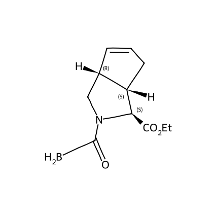 BC(=O)N1C[C@@H]2C=CC[C@@H]2[C@H]1C(=O)OCC